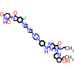 C=CCn1c(=O)c2cnc(Nc3ccc(N4CCN(C5CN(C6CN(c7cc8c(cc7F)C(=O)N(C7CCC(=O)NC7=O)C8)C6)C5)CC4)cc3)nc2n1-c1ccc2c(n1)[C@@](O)(CC)CC2